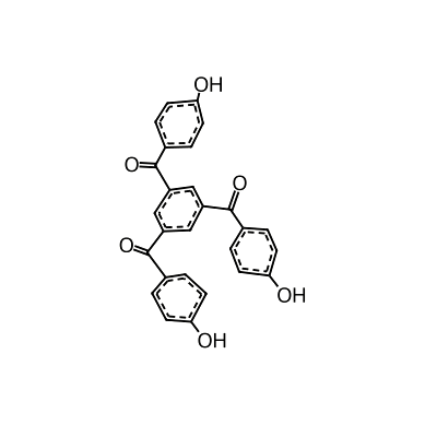 O=C(c1ccc(O)cc1)c1cc(C(=O)c2ccc(O)cc2)cc(C(=O)c2ccc(O)cc2)c1